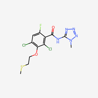 CSCCOc1c(Cl)cc(F)c(C(=O)Nc2nnnn2C)c1Cl